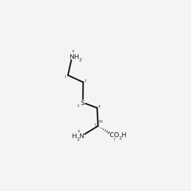 NCCSC[C@@H](N)C(=O)O